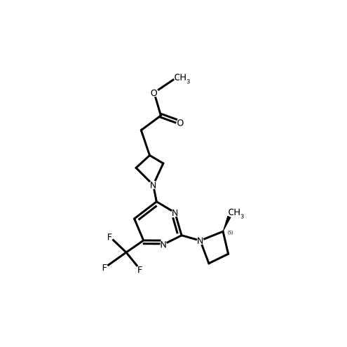 COC(=O)CC1CN(c2cc(C(F)(F)F)nc(N3CC[C@@H]3C)n2)C1